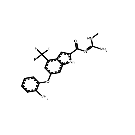 CNC(N)=NC(=O)c1cc2c(C(F)(F)F)cc(Oc3ccccc3N)cc2[nH]1